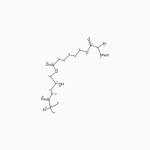 CCCCCC(CC)C(=O)OCCCCCC(=O)OCC(O)COC(=O)C(C)(C)CC